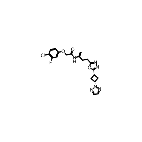 C=C(CCc1nnc([C@H]2C[C@@H](n3nccn3)C2)o1)NC(=O)COc1ccc(Cl)c(F)c1